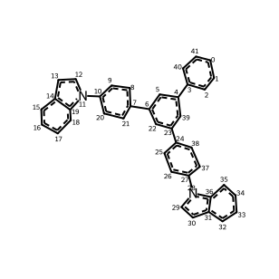 c1ccc(-c2cc(-c3ccc(-n4ccc5ccccc54)cc3)cc(-c3ccc(-n4ccc5ccccc54)cc3)c2)cc1